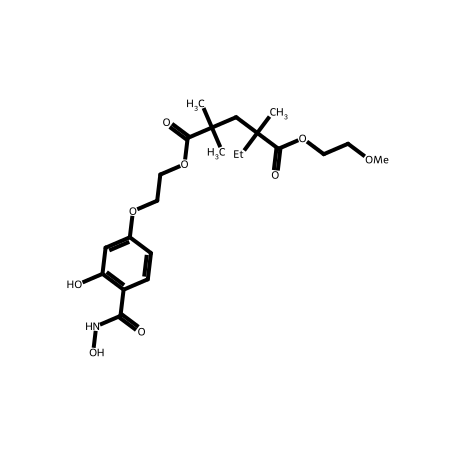 CCC(C)(CC(C)(C)C(=O)OCCOc1ccc(C(=O)NO)c(O)c1)C(=O)OCCOC